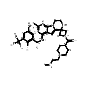 COCCN1CCC(C(=O)N2CC3(C2)OCCn2c3cc3c(N[C@H](C)c4cc(N)cc(C(F)(F)F)c4F)nc(C)nc32)CC1